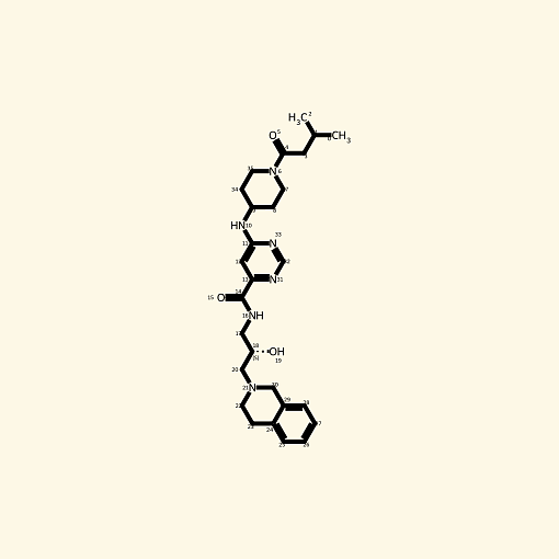 CC(C)CC(=O)N1CCC(Nc2cc(C(=O)NC[C@H](O)CN3CCc4ccccc4C3)ncn2)CC1